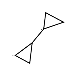 [CH]1CC1[C]1CC1